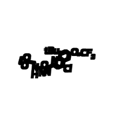 CC(C)(C)c1cc(OCC(F)(F)F)cc2c(Cl)cc(-c3nnc(NCC4OCCO4)o3)nc12